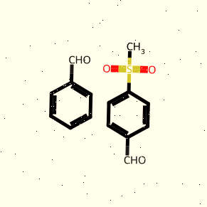 CS(=O)(=O)c1ccc(C=O)cc1.O=Cc1ccccc1